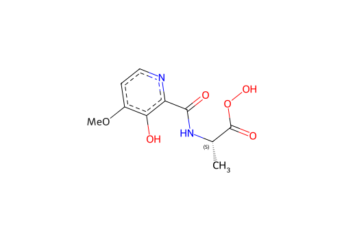 COc1ccnc(C(=O)N[C@@H](C)C(=O)OO)c1O